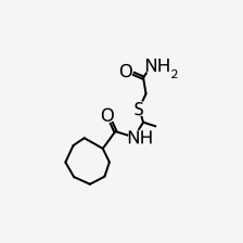 CC(NC(=O)C1CCCCCCC1)SCC(N)=O